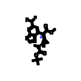 COC(=O)/C(=C1\C[C@@H]1N(C)C(=O)OC(C)(C)C)c1cc(C(F)F)nc2ncnn12